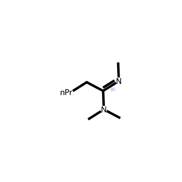 CCCC/C(=N\C)N(C)C